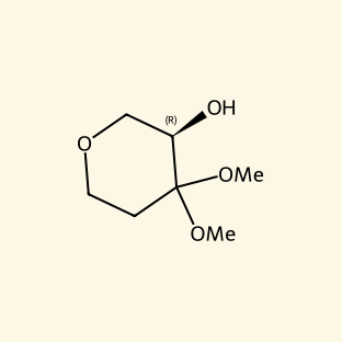 COC1(OC)CCOC[C@H]1O